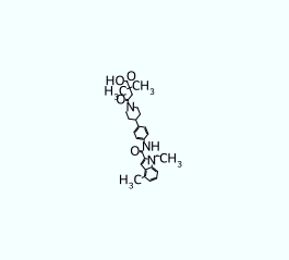 CCn1c(C(=O)Nc2ccc(C3CCN(C(=O)CC(C)(C)C(=O)O)CC3)cc2)cc2c(C)cccc21